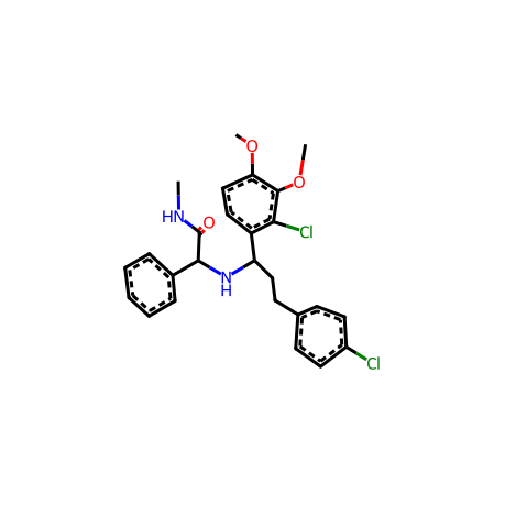 CNC(=O)C(NC(CCc1ccc(Cl)cc1)c1ccc(OC)c(OC)c1Cl)c1ccccc1